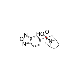 O=C(c1ccc2nonc2c1)N1C2CCC1CC(O)C2